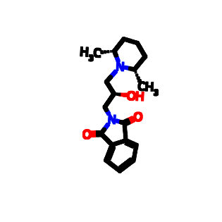 C[C@@H]1CCC[C@H](C)N1C[C@@H](O)CN1C(=O)c2ccccc2C1=O